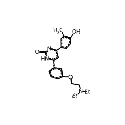 CCN(CC)CCOc1cccc(-c2cc(-c3ccc(O)c(C)c3)nc(=O)[nH]2)c1